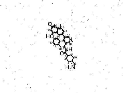 NCC1CCC(C(=O)N[C@@H](Cc2ccccc2)c2cncc(-c3ccc4[nH]c(=O)cc(O)c4c3)c2)CC1